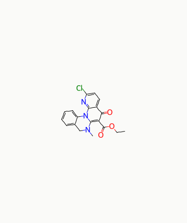 CCOC(=O)c1c2n(c3nc(Cl)ccc3c1=O)-c1ccccc1CN2C